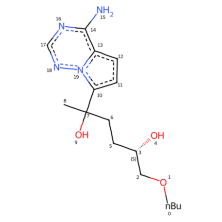 CCCCOC[C@@H](O)CCC(C)(O)c1ccc2c(N)ncnn12